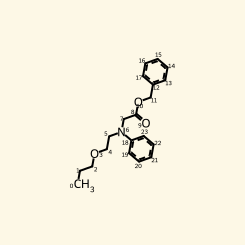 CCCOCCN(CC(=O)OCc1ccccc1)c1ccccc1